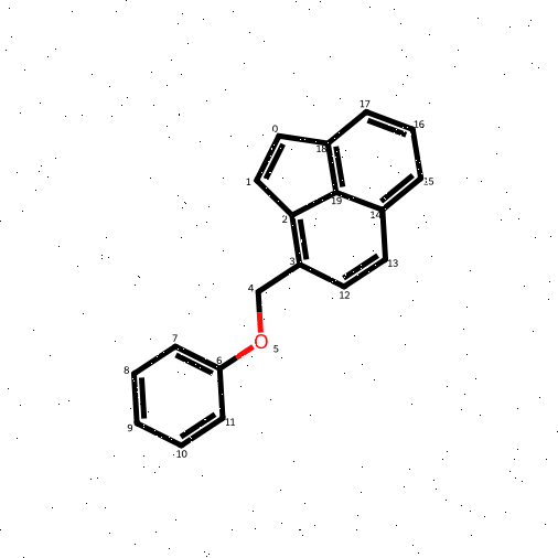 C1=Cc2c(COc3ccccc3)ccc3cccc1c23